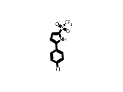 O=S(=O)(c1ccc(-c2ccc(Cl)cc2)[nH]1)C(F)(F)F